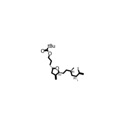 C=C(I)[C@H](C)C[C@H](C)CC[C@@H]1O[C@@H](CCCOC(=O)C(C)(C)C)CC1=C